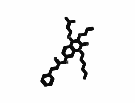 C=CCOc1c(OCC=C(C)C)c2ccc(NC(=O)/C=C/c3ccccc3)cc2n(CCCCCC)c1=O